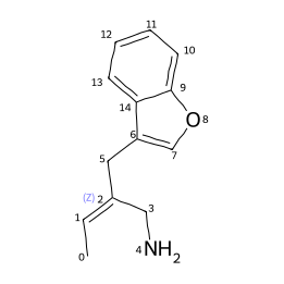 C/C=C(\CN)Cc1coc2ccccc12